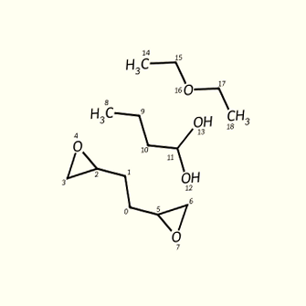 C(CC1CO1)C1CO1.CCCC(O)O.CCOCC